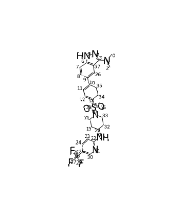 CN(C)c1n[nH]c2ccc(C3=CC=C(S(=O)(=O)N4CCC(Nc5ccc(C(F)(F)F)cn5)CC4)CC3)cc12